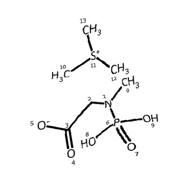 CN(CC(=O)[O-])P(=O)(O)O.C[S+](C)C